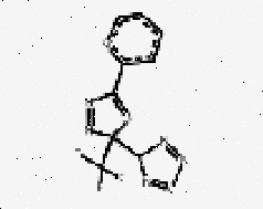 FC(F)(F)C1(C2N=NN=N2)N=NC(c2ccccn2)=N1